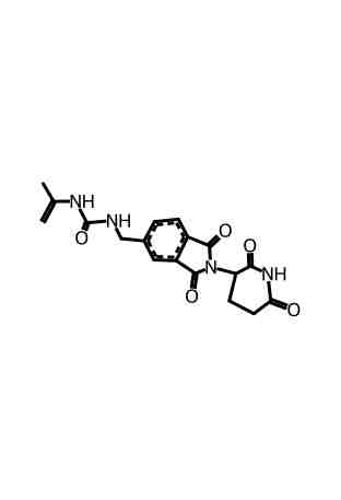 C=C(C)NC(=O)NCc1ccc2c(c1)C(=O)N(C1CCC(=O)NC1=O)C2=O